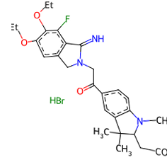 Br.CCOc1cc2c(c(F)c1OCC)C(=N)N(CC(=O)c1ccc3c(c1)C(C)(C)C(CC(=O)O)N3C)C2